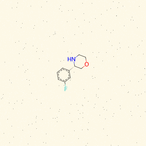 Fc1cccc([C@H]2COCCN2)c1